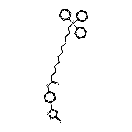 O=C(CCCCCCCCCCC[PH](c1ccccc1)(c1ccccc1)c1ccccc1)Oc1ccc(-c2cc(=S)ss2)cc1